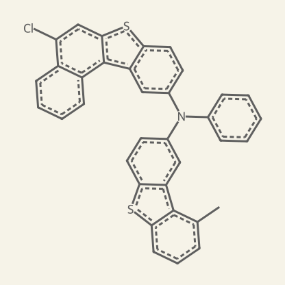 Cc1cccc2sc3ccc(N(c4ccccc4)c4ccc5sc6cc(Cl)c7ccccc7c6c5c4)cc3c12